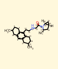 CC1CCc2c(cc3c(c2CCNCC(=O)N2[C@H](C#N)C[C@@H]4C[C@@H]42)CCC(C)C3)C1